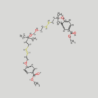 COC(=O)c1ccc(OCCSSCCC(C)(C)OCOCCSSCCC(C)(C)Oc2ccc(C(=O)OC)cc2)cc1